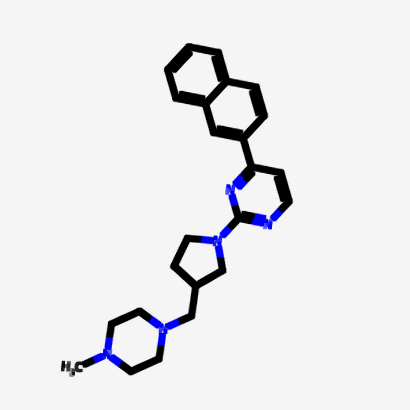 CN1CCN(CC2CCN(c3nccc(-c4ccc5ccccc5c4)n3)C2)CC1